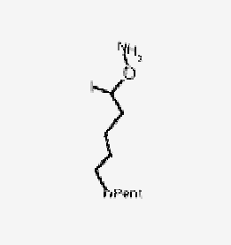 CCCCCCCCCC(I)ON